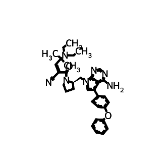 CCN(CC)C(C)(C)/C=C(/C#N)C(=O)N1CCC[C@@H]1Cn1cc(-c2ccc(Oc3ccccc3)cc2)c2c(N)ncnc21